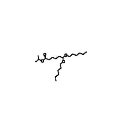 CCCCCCOC(CCCCC(=O)OC(C)C)OCCCCCC